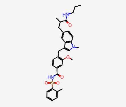 CCCNC(=O)C(C)Cc1ccc2c(c1)c(Cc1ccc(C(=O)NS(=O)(=O)c3ccccc3C)cc1OC)cn2C